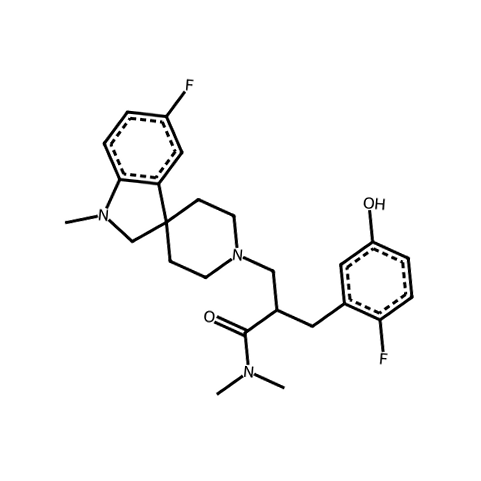 CN(C)C(=O)C(Cc1cc(O)ccc1F)CN1CCC2(CC1)CN(C)c1ccc(F)cc12